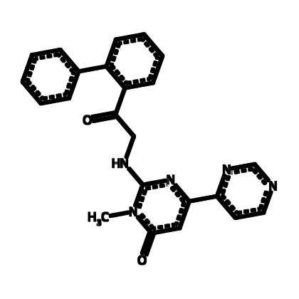 Cn1c(NCC(=O)c2ccccc2-c2ccccc2)nc(-c2ccncn2)cc1=O